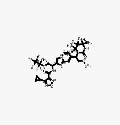 BC1(B)NC(=O)N(C(COC)c2cnn3cc(C(COC(C)(C)C(F)(F)F)NC(=O)c4nonc4C4CC4)nc3c2)C(B)(B)C1(F)F